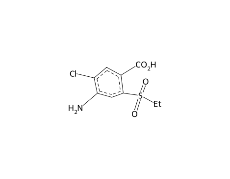 CCS(=O)(=O)c1cc(N)c(Cl)cc1C(=O)O